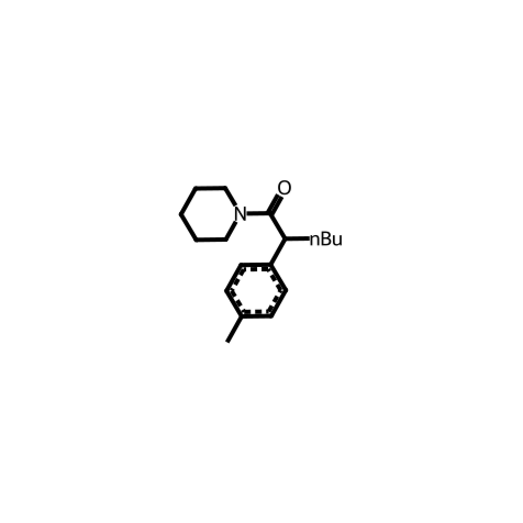 CCCCC(C(=O)N1CCCCC1)c1ccc(C)cc1